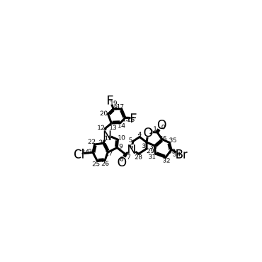 O=C1OC2(CCN(C(=O)c3cn(Cc4cc(F)cc(F)c4)c4cc(Cl)ccc34)CC2)c2ccc(Br)cc21